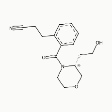 N#CCCc1ccccc1C(=O)N1CCOC[C@H]1CCO